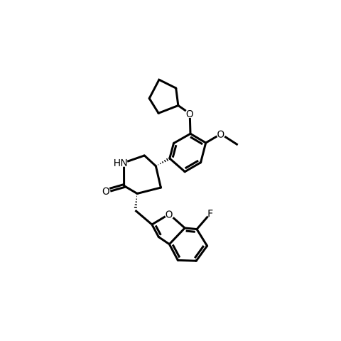 COc1ccc([C@H]2CNC(=O)[C@@H](Cc3cc4cccc(F)c4o3)C2)cc1OC1CCCC1